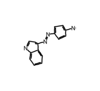 [N]c1ccc(N=Nc2ccnc3ccccc23)cc1